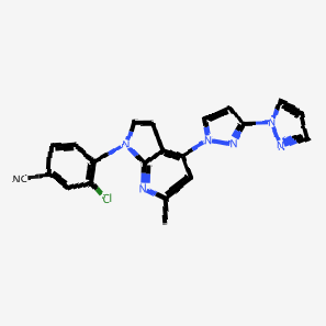 Cc1cc(-n2ccc(-n3cccn3)n2)c2c(n1)N(c1ccc(C#N)cc1Cl)CC2